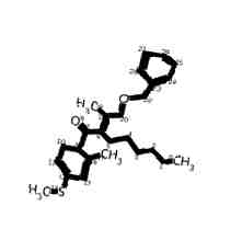 CCCCCC/C(C(=O)C1CC=C(SC)C=C1C)=C(/C)COCc1ccccc1